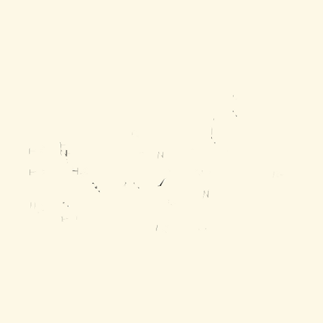 C=N/C(=N\C(=C/C)CNC(=O)[C@@H]1CC(Nc2c(C[N+](=O)[O-])cc(Br)cc2C(=O)N2CCO[C@H](C)C2)CN1C(=O)/C(=C/C)C/C=N\C=C\NC)C(C)F